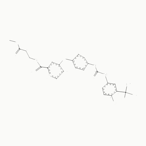 COC(=O)CCNC(=O)c1cc(Oc2ccc(NC(=O)Nc3ccc(Cl)c(C(F)(F)F)c3)cc2)ccn1